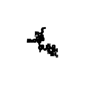 C/C=C\C=C(/CC)OP(=O)(N[C@@H](C)C(=O)OC)OCC[C@@H]1C[C@H](C)[C@H](Cc2cnc3c(=O)[nH]c(N)nn23)O1